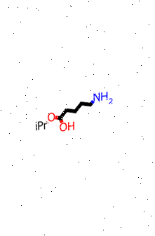 CC(C)OC(O)CCCCN